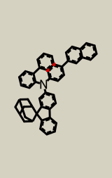 c1ccc(-c2ccccc2N(c2ccc(-c3ccc4ccccc4c3)cc2)c2ccc3c(c2)C2(c4ccccc4-3)C3CC4CC(C3)CC2C4)cc1